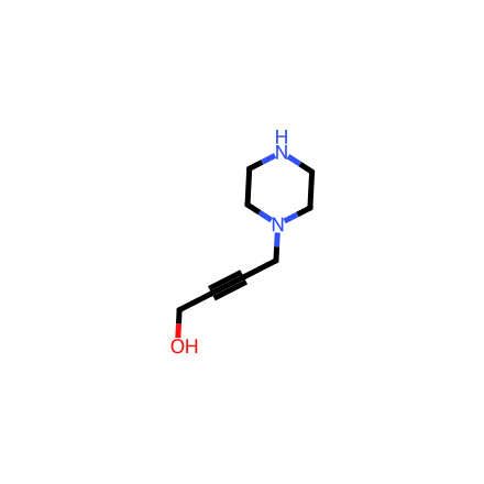 OCC#CCN1CCNCC1